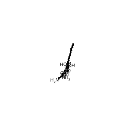 CCCCCCCCCCCCCCCC(=O)C(O)[C@H]1O[C@@H](n2ccc(NC(=O)[C@@H](N)CCCCN)nc2=O)C[C@@H]1O